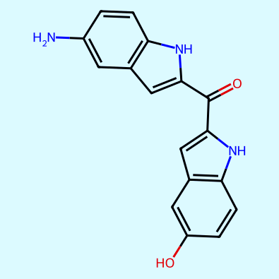 Nc1ccc2[nH]c(C(=O)c3cc4cc(O)ccc4[nH]3)cc2c1